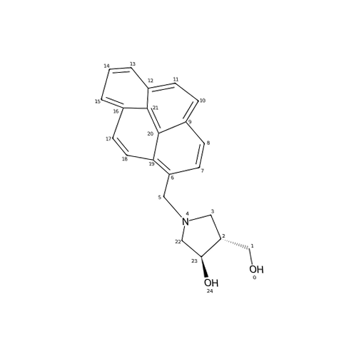 OC[C@H]1CN(Cc2ccc3ccc4cccc5ccc2c3c45)C[C@@H]1O